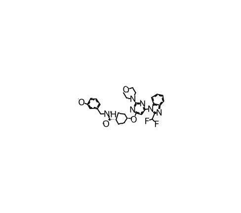 COc1cccc(CNC(=O)[C@H]2CC[C@H](Oc3cc(-n4c(C(F)F)nc5ccccc54)nc(N4CCOCC4)n3)CC2)c1